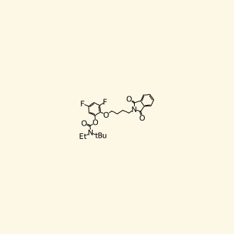 CCN(C(=O)Oc1cc(F)cc(F)c1OCCCCN1C(=O)c2ccccc2C1=O)C(C)(C)C